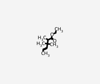 C/C=C/C(C)(C)C(C)C(=O)OCC